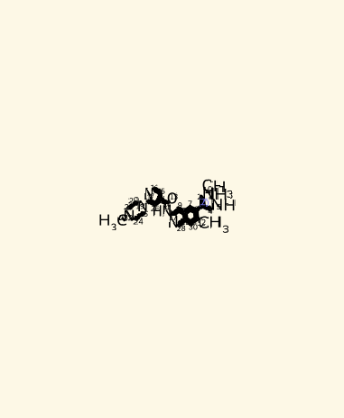 CN/C=C(\C=N)c1cc2cc(NC(=O)c3ccnc(N4CCN(C)CC4)c3)ncc2cc1C